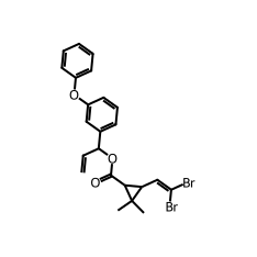 C=CC(OC(=O)C1C(C=C(Br)Br)C1(C)C)c1cccc(Oc2ccccc2)c1